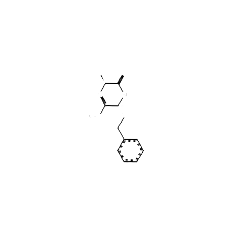 COC1=N[C@@H](C(C)C)C(=O)N[C@@H]1CCc1ccccc1